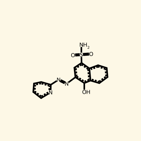 NS(=O)(=O)c1cc(N=Nc2ccccn2)c(O)c2ccccc12